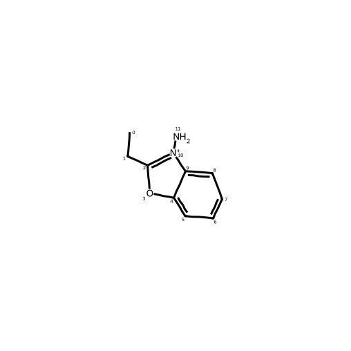 CCc1oc2ccccc2[n+]1N